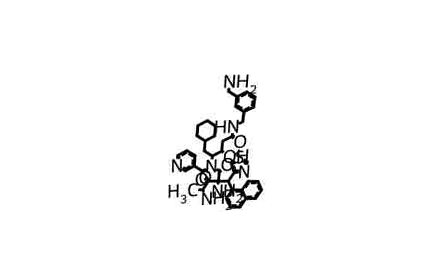 CC(N)C(=O)C(N)(C(=O)N(C(=O)c1cccnc1)C(CC1CCCCC1)C(O)CC(=O)NCc1cccc(CN)c1)C(c1cscn1)c1cccc2ccccc12